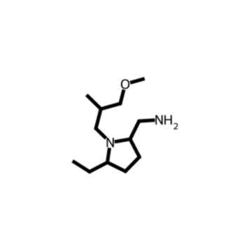 CCC1CCC(CN)N1CC(C)COC